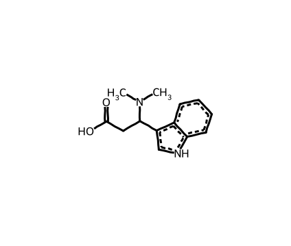 CN(C)C(CC(=O)O)c1c[nH]c2ccccc12